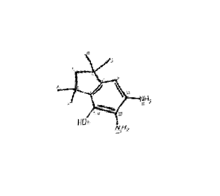 CC1(C)CC(C)(C)c2c1cc(N)c(N)c2O